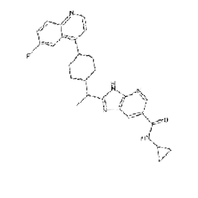 CC(c1nc2cc(C(=O)NC3CC3)cnc2[nH]1)C1CCC(c2ccnc3ccc(F)cc23)CC1